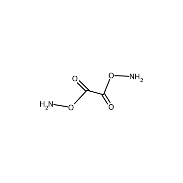 NOC(=O)C(=O)ON